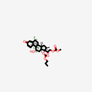 CCCOC(=O)O[C@]1(C(=O)COC(=O)OC)[C@H](C)C[C@H]2[C@@H]3C[C@H](F)C4=CC(=O)C=C[C@]4(C)[C@@]3(F)[C@@H](O)C[C@@]21C